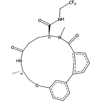 C[C@H]1COc2cccc(c2)-c2cccc(c2)C(=O)N(C)[C@H](C(=O)NCC(F)(F)F)CCC(=O)N1